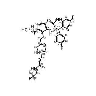 Cl.Cl.NC(=O)[C@@H](Nc1cccc(F)c1CC[C@@H]1CN[C@H](COC(=O)NCC(F)(F)F)CO1)C(c1ccc(F)cc1)c1ccc(F)cc1